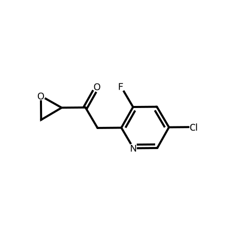 O=C(Cc1ncc(Cl)cc1F)C1CO1